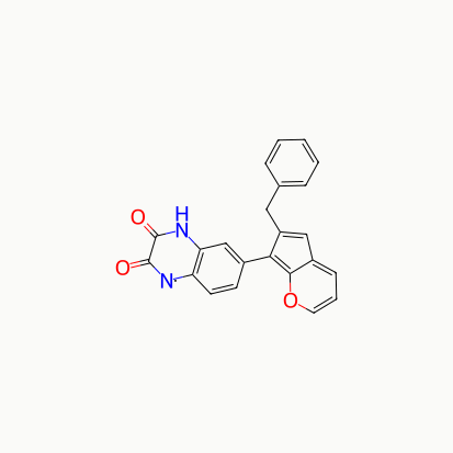 O=C1[N]c2ccc(-c3c(Cc4ccccc4)cc4cccoc3-4)cc2NC1=O